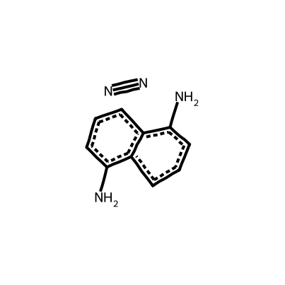 N#N.Nc1cccc2c(N)cccc12